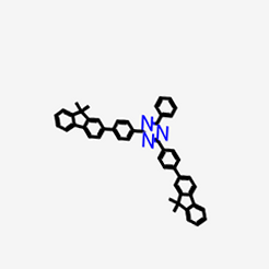 CC1(C)c2ccccc2-c2ccc(-c3ccc(-c4nc(-c5ccccc5)nc(-c5ccc(-c6ccc7c(c6)C(C)(C)c6ccccc6-7)cc5)n4)cc3)cc21